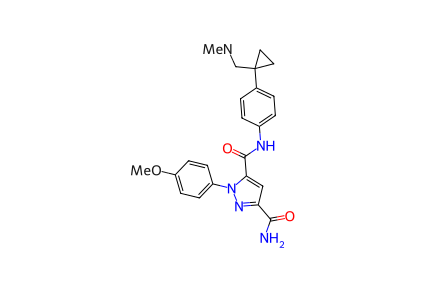 CNCC1(c2ccc(NC(=O)c3cc(C(N)=O)nn3-c3ccc(OC)cc3)cc2)CC1